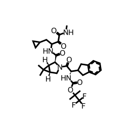 CNC(=O)C(=O)C(CC1CC1)NC(=O)[C@@H]1[C@@H]2[C@H](CN1C(=O)[C@@H](NC(=O)OC(C)(C)C(F)(F)F)C1Cc3ccccc3C1)C2(C)C